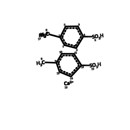 Cc1ccc(S(=O)(=O)O)cc1.Cc1ccc(S(=O)(=O)O)cc1.[Ca+2].[Mg+2]